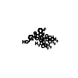 CN(C(=O)c1nc(N(C(=O)OC(C)(C)C)C(=O)OC(C)(C)C)nc2c(F)cccc12)c1cccc(CO)n1